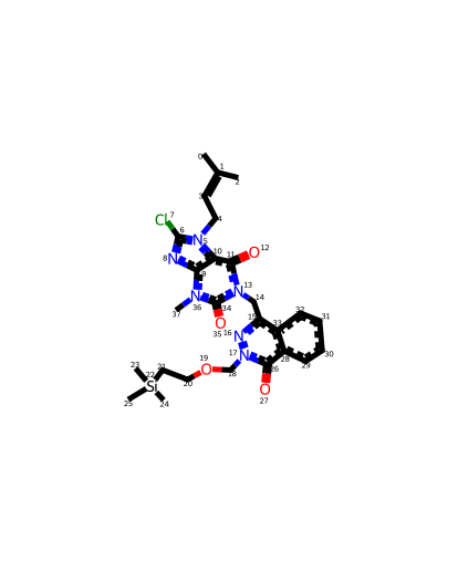 CC(C)=CCn1c(Cl)nc2c1c(=O)n(Cc1nn(COCC[Si](C)(C)C)c(=O)c3ccccc13)c(=O)n2C